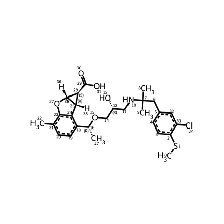 CSc1ccc(CC(C)(C)NC[C@@H](O)CO[C@H](C)c2ccc(C)c3c2[C@@H]2[C@H](O3)[C@H]2C(=O)O)cc1Cl